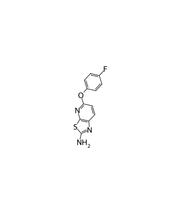 Nc1nc2ccc(Oc3ccc(F)cc3)nc2s1